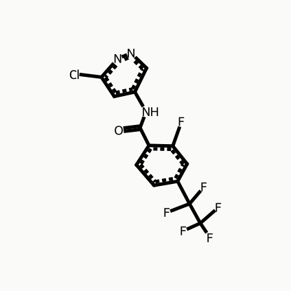 O=C(Nc1cnnc(Cl)c1)c1ccc(C(F)(F)C(F)(F)F)cc1F